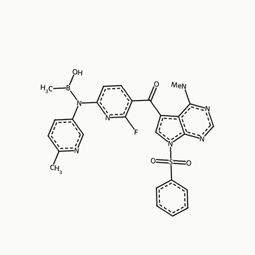 CNc1ncnc2c1c(C(=O)c1ccc(N(B(C)O)c3ccc(C)nc3)nc1F)cn2S(=O)(=O)c1ccccc1